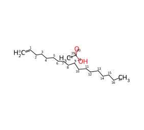 C=CCCCCCCCCCCCCCCCC.CC(=O)O